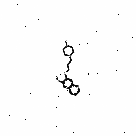 COc1cc2cccnc2cc1OCCCN1CCN(C)CC1